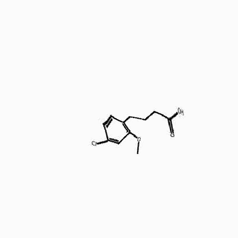 COc1cc(Cl)ccc1CCCC(=O)O